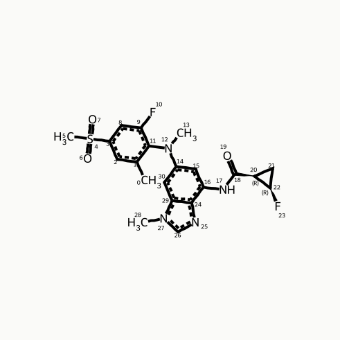 Cc1cc(S(C)(=O)=O)cc(F)c1N(C)c1cc(NC(=O)[C@H]2C[C@H]2F)c2ncn(C)c2c1